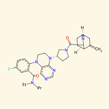 C=C1C[C@@H]2CCC1[C@@H](C(=O)N1CC[C@H](N3CCN(c4ccc(F)cc4C(=O)N(CC)C(C)C)c4cncnc43)C1)N2